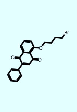 O=C1C(c2ccccc2)=CC(=O)c2c(OCCCCBr)cccc21